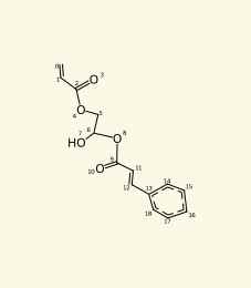 C=CC(=O)OCC(O)OC(=O)C=Cc1ccccc1